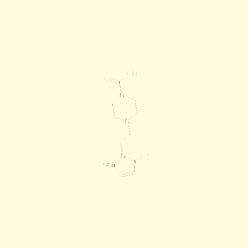 O=C(O)N1CCN(CCN2C(=O)C=CC2=O)CC1